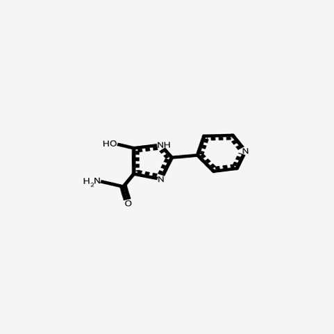 NC(=O)c1nc(-c2ccncc2)[nH]c1O